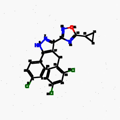 Clc1ccc(-c2[nH]nc(-c3noc(C4CC4)n3)c2Cc2ccc(Cl)cc2Cl)cc1